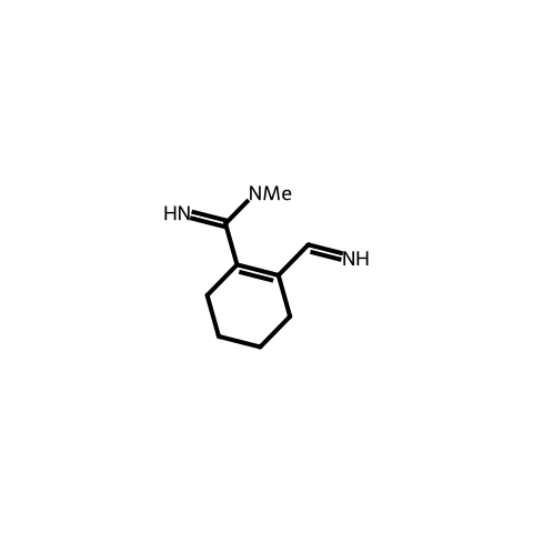 CNC(=N)C1=C(C=N)CCCC1